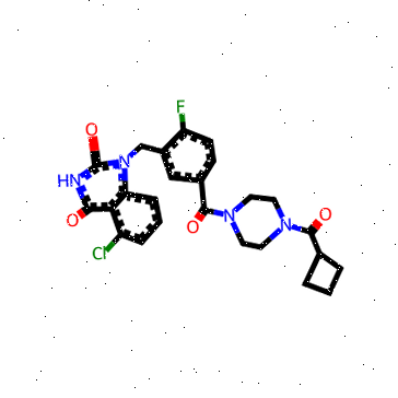 O=C(c1ccc(F)c(Cn2c(=O)[nH]c(=O)c3c(Cl)cccc32)c1)N1CCN(C(=O)C2CCC2)CC1